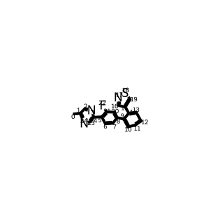 Cc1cnc(-c2ccc(-c3ccccc3-c3cnsc3)cc2F)cn1